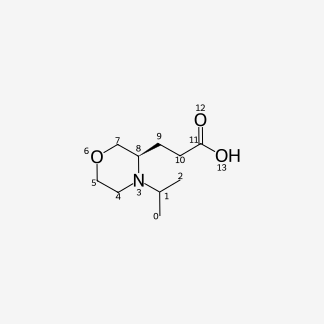 CC(C)N1CCOC[C@H]1CCC(=O)O